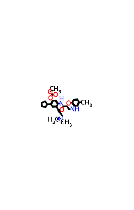 COC(=O)Oc1cc(NC(=O)C2CNc3cc(C)ccc3O2)c(C#CCN(C)C)cc1C1CCCC1